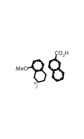 COc1cccc2c1C[C@@H](C)CC2.O=C(O)c1ccc2ccccc2c1